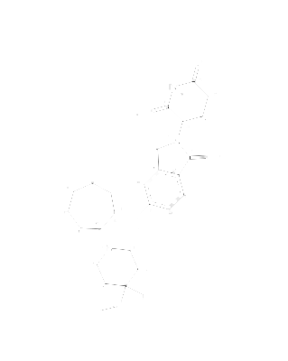 COC1(C)CCN([C@@H]2CCCCC[C@@H]2Oc2ccc3c(c2)CN(C2CCC(=O)NC2=O)C3=O)CC1